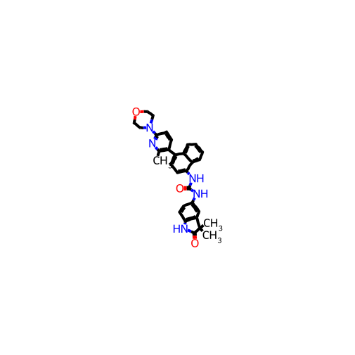 Cc1nc(N2CCOCC2)ccc1-c1ccc(NC(=O)Nc2ccc3c(c2)C(C)(C)C(=O)N3)c2ccccc12